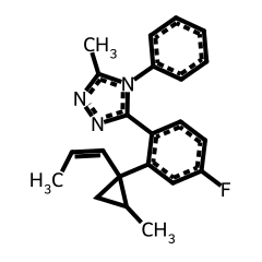 C/C=C\C1(c2cc(F)ccc2-c2nnc(C)n2-c2ccccc2)CC1C